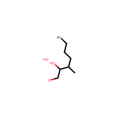 CC(C)CCCC(C)C(O)C[O].[OH]